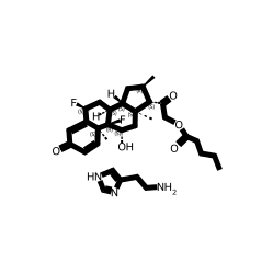 CCCCC(=O)OCC(=O)[C@H]1[C@H](C)C[C@H]2[C@@H]3C[C@H](F)C4=CC(=O)C=C[C@]4(C)[C@@]3(F)[C@@H](O)C[C@@]21C.NCCc1c[nH]cn1